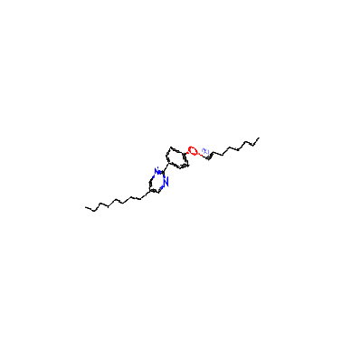 CCCCCC/C=C/Oc1ccc(-c2ncc(CCCCCCCC)cn2)cc1